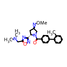 CO/N=C1/C[C@@H](c2noc(CN(C)C)n2)N(C(=O)c2ccc(-c3ccccc3C)cc2)C1